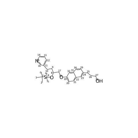 CC(C)(C)[Si](C)(C)OC(CCc1cccnc1)COc1ccc2cc(CCCO)ccc2c1